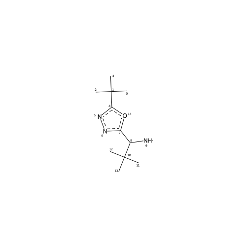 CC(C)(C)c1nnc(C([NH])C(C)(C)C)o1